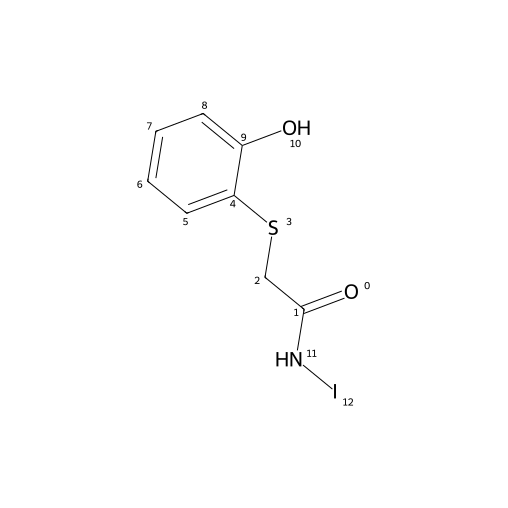 O=C(CSc1ccccc1O)NI